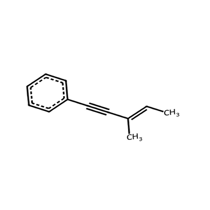 CC=C(C)C#Cc1ccccc1